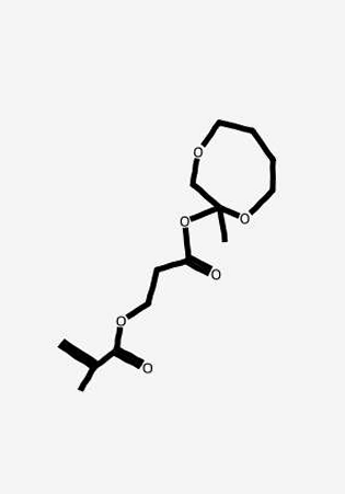 C=C(C)C(=O)OCCC(=O)OC1(C)COCCCCO1